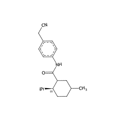 CC1CC[C@@H](C(C)C)C(C(=O)Nc2ccc(CC#N)cc2)C1